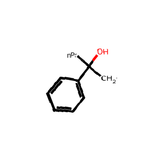 [CH2]C(O)(CCC)c1ccccc1